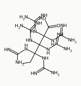 CCC(NC(=N)N)(NC(=N)N)C(NC(=N)N)(NC(=N)N)C(NC(=N)N)(NC(=N)N)C(=O)O